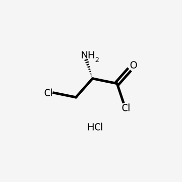 Cl.N[C@@H](CCl)C(=O)Cl